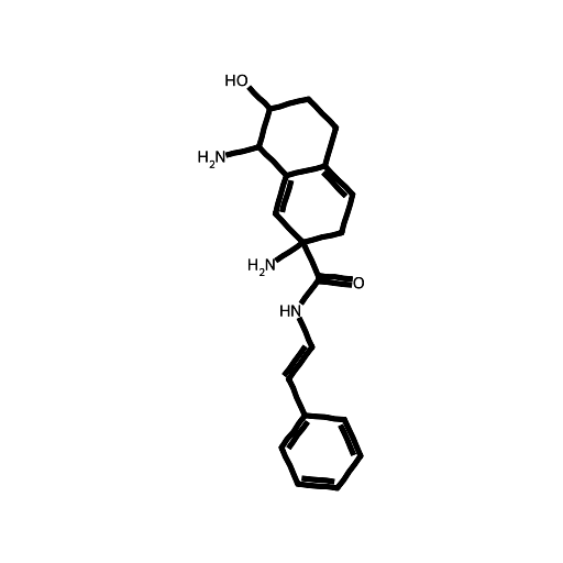 NC1C2=CC(N)(C(=O)NC=Cc3ccccc3)CC=C2CCC1O